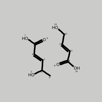 CC(O)C=CC(=O)O.O=C(O)C=CCO